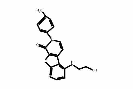 Cc1ccc(-n2ccc3c(sc4nccc(NCCO)c43)c2=O)cc1